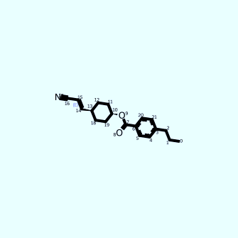 CCCc1ccc(C(=O)O[C@H]2CC[C@H](/C=C/C#N)CC2)cc1